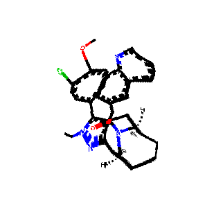 COc1ccc(-c2c3c(nn2C)[C@@H]2CCC[C@H](C3)N2C(=O)c2ccc3ncccc3c2)cc1Cl